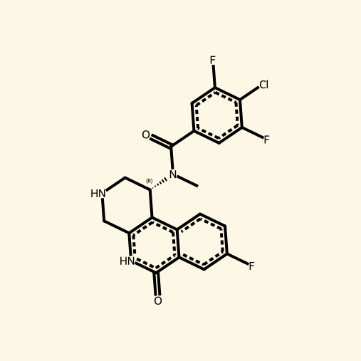 CN(C(=O)c1cc(F)c(Cl)c(F)c1)[C@H]1CNCc2[nH]c(=O)c3cc(F)ccc3c21